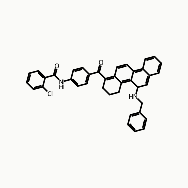 O=C(C1=c2ccc3c(c2CCC1)C(NCc1ccccc1)C=c1ccccc1=3)c1ccc(NC(=O)c2ccccc2Cl)cc1